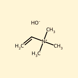 C=C[N+](C)(C)C.[OH-]